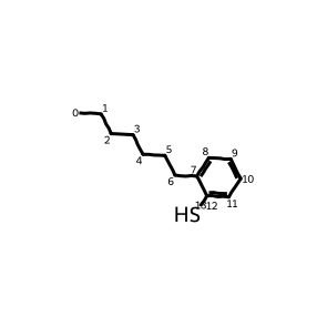 CCCCCCCc1ccccc1S